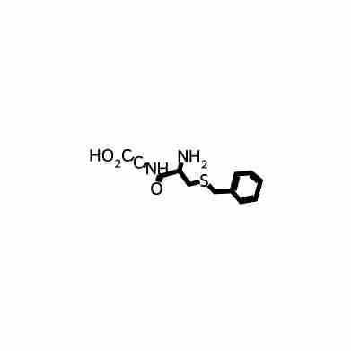 NC(CSCc1ccccc1)C(=O)NCC(=O)O